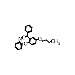 CCCCOc1ccc(O)c(C(=C=Nc2ccccc2)c2ccccc2)c1